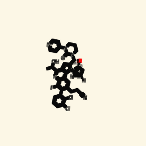 CC(O)c1nc2c(F)c(-c3cccc(Cl)c3Cl)c(CCC#N)cc2c2c1cc([C@@H](C)N1CCCN(c3ccncc3)C1=O)n2[C@H]1[C@H]2CN[C@@H]1C2